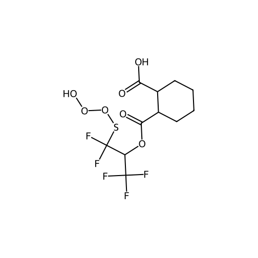 O=C(O)C1CCCCC1C(=O)OC(C(F)(F)F)C(F)(F)SOOO